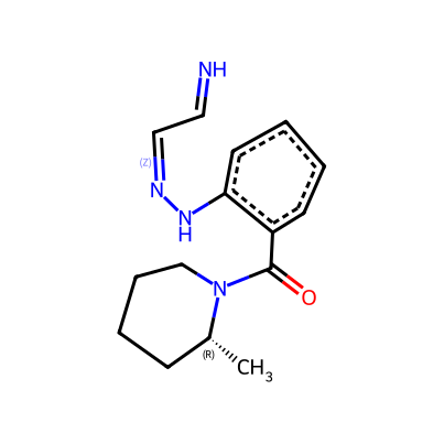 C[C@@H]1CCCCN1C(=O)c1ccccc1N/N=C\C=N